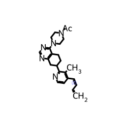 C=C/C=C\c1ccnc(C2CCc3c(ncnc3N3CCN(C(C)=O)CC3)C2)c1C